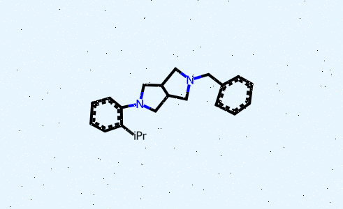 CC(C)c1ccccc1N1CC2CN(Cc3ccccc3)CC2C1